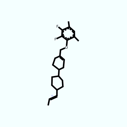 C/C=C/C1CCC(C2CC=C(COc3c(C)cc(C)c(F)c3F)CC2)CC1